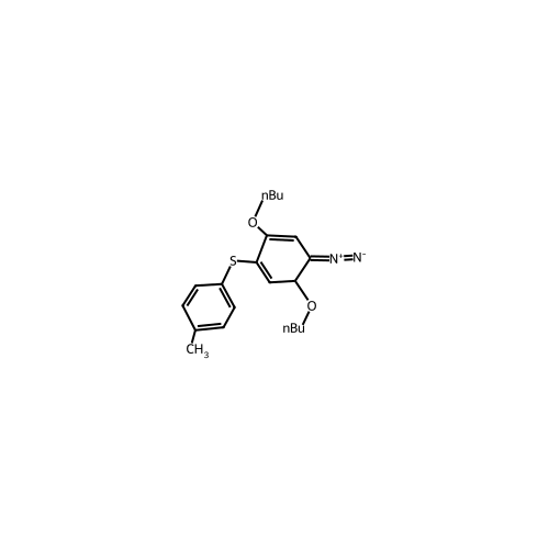 CCCCOC1=CC(=[N+]=[N-])C(OCCCC)C=C1Sc1ccc(C)cc1